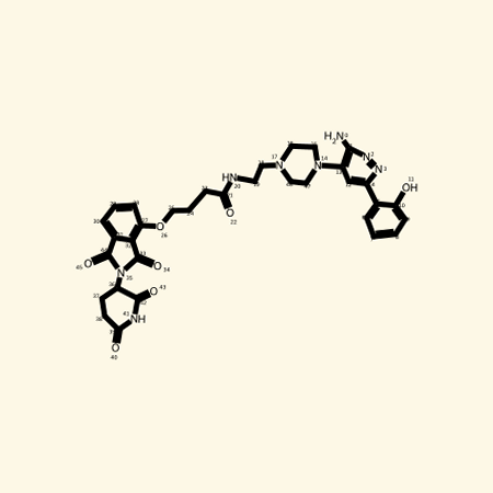 Nc1nnc(-c2ccccc2O)cc1N1CCN(CCNC(=O)CCCOc2cccc3c2C(=O)N(C2CCC(=O)NC2=O)C3=O)CC1